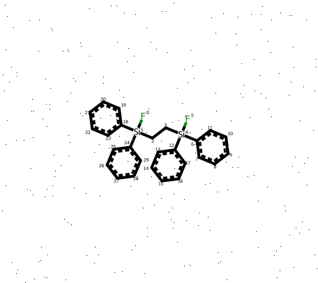 F[Si](CC[Si](F)(c1ccccc1)c1ccccc1)(c1ccccc1)c1ccccc1